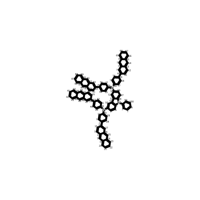 c1ccc(-n2c3ccc(N(c4ccc(-c5ccc6cc7ccccc7cc6c5)cc4)c4ccc(-c5ccc6cc7ccccc7cc6c5)cc4)cc3c3cc(N(c4ccc(-c5ccc6cc7ccccc7cc6c5)cc4)c4ccc(-c5ccc6cc7ccccc7cc6c5)cc4)ccc32)cc1